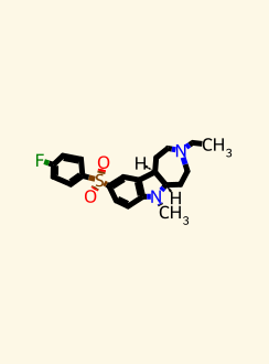 CCN1CC[C@@H]2c3cc(S(=O)(=O)c4ccc(F)cc4)ccc3N(C)[C@@H]2CC1